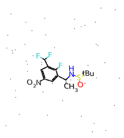 C[C@@H](N[S@+]([O-])C(C)(C)C)c1cc([N+](=O)[O-])cc(C(F)F)c1F